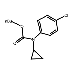 CCCCOC(=O)N(c1ccc(Cl)cc1)C1CC1